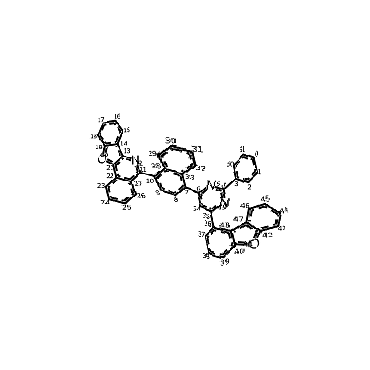 c1ccc(-c2nc(-c3ccc(-c4nc5c6ccccc6oc5c5ccccc45)c4ccccc34)cc(-c3cccc4oc5ccccc5c34)n2)cc1